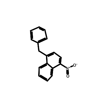 O=[N+]([O-])c1ccc(Cc2ccccc2)c2ccccc12